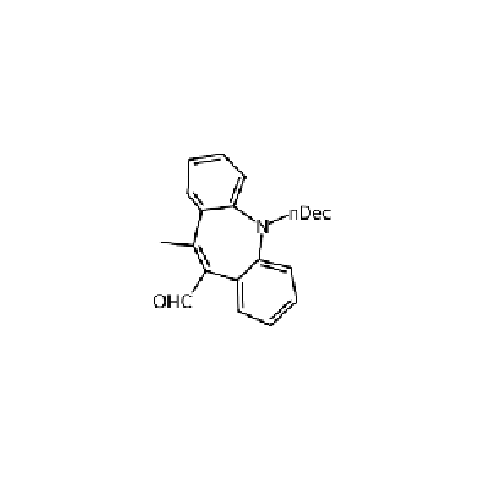 CCCCCCCCCCN1c2ccccc2C(C)=C(C=O)c2ccccc21